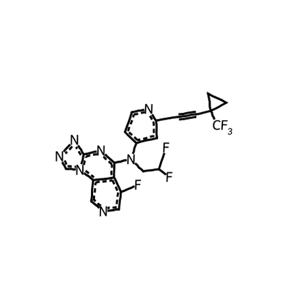 Fc1cncc2c1c(N(CC(F)F)c1ccnc(C#CC3(C(F)(F)F)CC3)c1)nc1nncn12